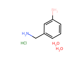 Bc1cccc(CN)c1.Cl.O.O